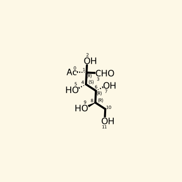 CC(=O)[C@](O)(C=O)[C@@H](O)[C@H](O)[C@H](O)CO